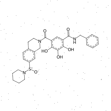 O=C(NCc1ccccc1)c1cc(C(=O)N2CCc3ccc([S+]([O-])N4CCCCC4)cc3C2)c(O)c(O)c1O